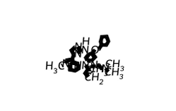 C=CC(=O)Nc1cc(Nc2nccc(-c3cn(C)c4ccccc34)n2)c(OCC2CCCCC2)cc1N(C)CCN(C)C